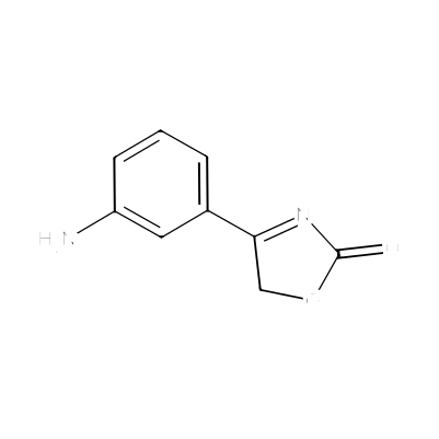 Nc1cccc(C2=NC(=O)OC2)c1